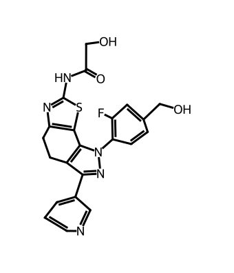 O=C(CO)Nc1nc2c(s1)-c1c(c(-c3cccnc3)nn1-c1ccc(CO)cc1F)CC2